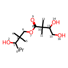 CC(C)C(O)C(C)(C)COC(=O)C(C)(C)C(O)CO